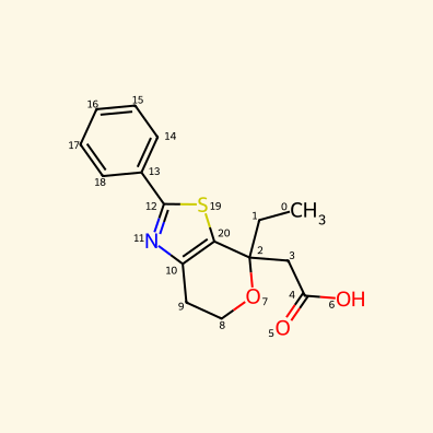 CCC1(CC(=O)O)OCCc2nc(-c3ccccc3)sc21